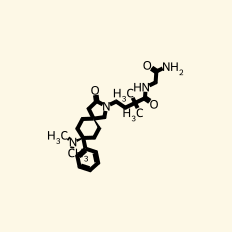 CN(C)[C@]1(c2ccccc2)CC[C@@]2(CC1)CC(=O)N(CCC(C)(C)C(=O)NCC(N)=O)C2